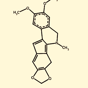 COc1cc2c(cc1OC)C1=CC3=CC4=C(CC3=C1N(C)C2)OCO4